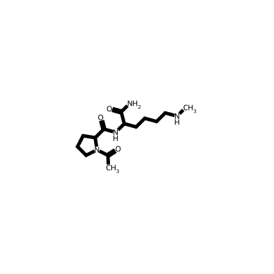 CNCCCCC(NC(=O)C1CCCN1C(C)=O)C(N)=O